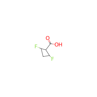 O=C(O)C1C(F)CC1F